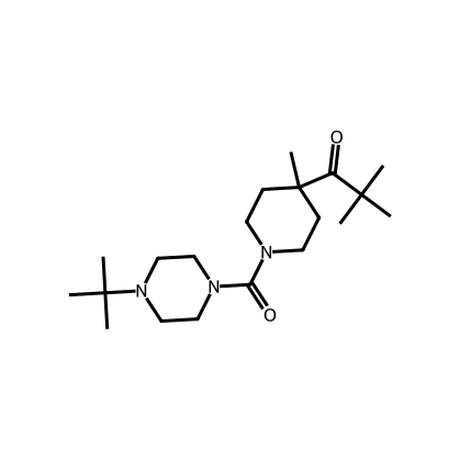 CC(C)(C)C(=O)C1(C)CCN(C(=O)N2CCN(C(C)(C)C)CC2)CC1